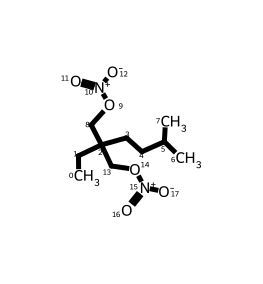 CCC(CCC(C)C)(CO[N+](=O)[O-])CO[N+](=O)[O-]